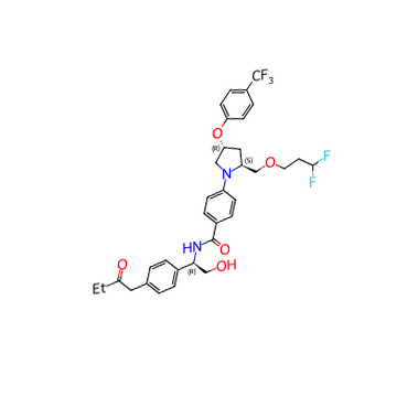 CCC(=O)Cc1ccc([C@H](CO)NC(=O)c2ccc(N3C[C@H](Oc4ccc(C(F)(F)F)cc4)C[C@H]3COCCC(F)F)cc2)cc1